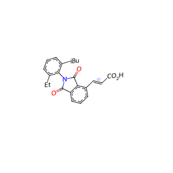 CCc1cccc(C(C)CC)c1N1C(=O)c2cccc(/C=C/C(=O)O)c2C1=O